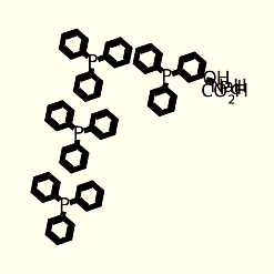 O=C(O)O.[NaH].[Pd].c1ccc(P(c2ccccc2)c2ccccc2)cc1.c1ccc(P(c2ccccc2)c2ccccc2)cc1.c1ccc(P(c2ccccc2)c2ccccc2)cc1.c1ccc(P(c2ccccc2)c2ccccc2)cc1